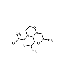 CC(C)[CH2][Al]1[CH2]C[O][Al]([CH2]C(C)C)[Al]1[CH2]C(C)C